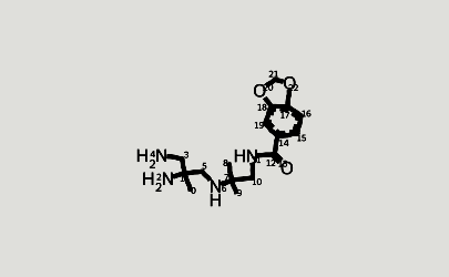 CC(N)(CN)CNC(C)(C)CNC(=O)c1ccc2c(c1)OCO2